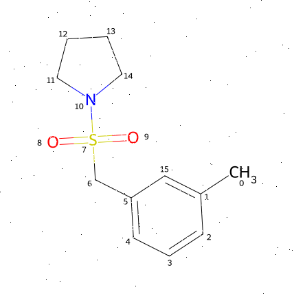 Cc1cccc(CS(=O)(=O)N2CCCC2)c1